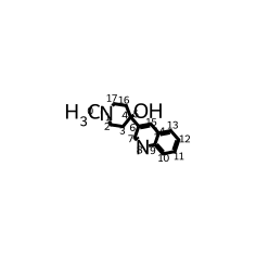 CN1CCC(O)(c2cnc3ccccc3c2)CC1